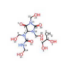 CC(O)CO.O=C1C(N(CO)C(=O)NCO)N(CO)C(=O)N1CO